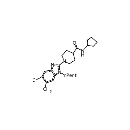 CCCCCn1c(N2CCC(C(=O)NC3CCCC3)CC2)nc2cc(Cl)c(C)cc21